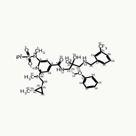 CC(C)S(=O)(=O)N(C)c1cc(C(=O)N[C@@H](COc2ccccc2)C(C)(O)CNCc2cccc(C(F)(F)F)c2)cc(N(C)C[C@H]2C[C@@H]2C)n1